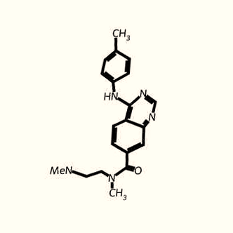 CNCCN(C)C(=O)c1ccc2c(Nc3ccc(C)cc3)ncnc2c1